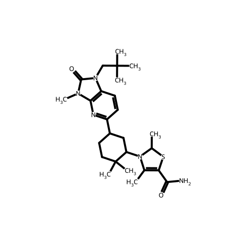 CC1=C(C(N)=O)SC(C)N1C1CC(c2ccc3c(n2)n(C)c(=O)n3CC(C)(C)C)CCC1(C)C